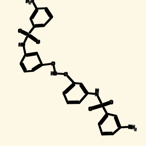 Nc1cccc(S(=O)(=O)Nc2cccc(OBOc3cccc(NS(=O)(=O)c4cccc(N)c4)c3)c2)c1